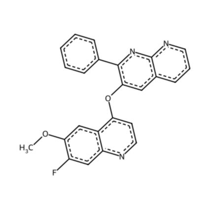 COc1cc2c(Oc3cc4cccnc4nc3-c3ccccc3)ccnc2cc1F